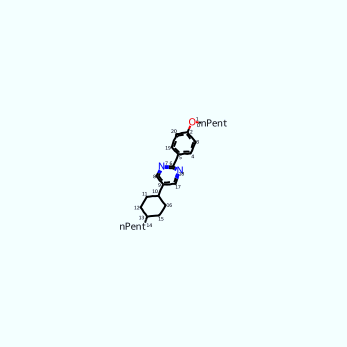 CCCCCOc1ccc(-c2ncc(C3CCC(CCCCC)CC3)cn2)cc1